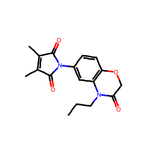 CCCN1C(=O)COc2ccc(N3C(=O)C(C)=C(C)C3=O)cc21